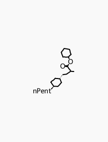 CCCCC[C@H]1CC[C@H](CCC(C)C(=O)OC2CCCCC2)CC1